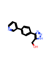 OCc1[nH]nnc1-c1ccc(-c2cccnc2)cc1